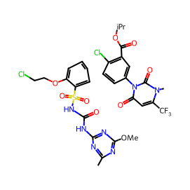 CC(C)OC(=O)c1cc(-n2c(=O)cc(C(F)(F)F)n(C)c2=O)ccc1Cl.COc1nc(C)nc(NC(=O)NS(=O)(=O)c2ccccc2OCCCl)n1